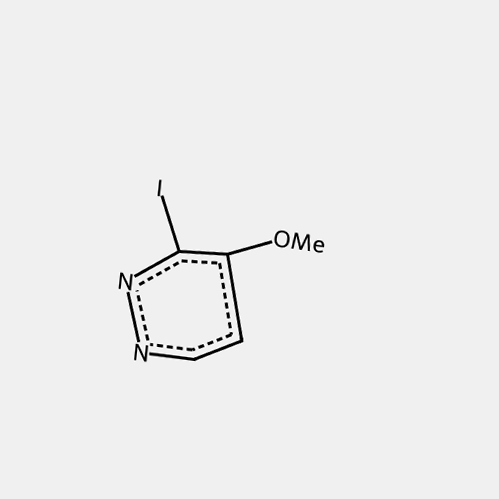 COc1ccnnc1I